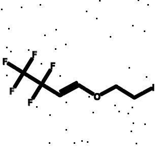 FC(F)(F)C(F)(F)C=COCCI